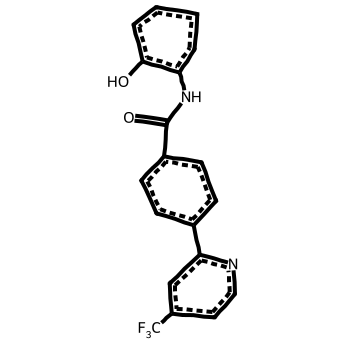 O=C(Nc1ccccc1O)c1ccc(-c2cc(C(F)(F)F)ccn2)cc1